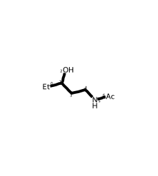 CCC(O)CCNC(C)=O